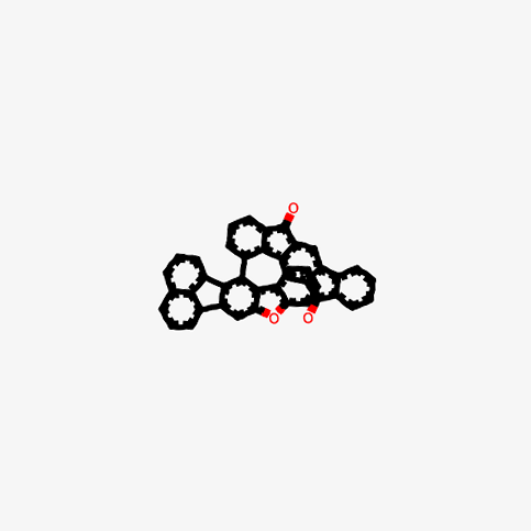 O=c1c2ccccc2c2cc3c(=O)c4cccc(-c5c6c(cc7oc8ccccc8c57)-c5cccc7cccc-6c57)c4c3cc12